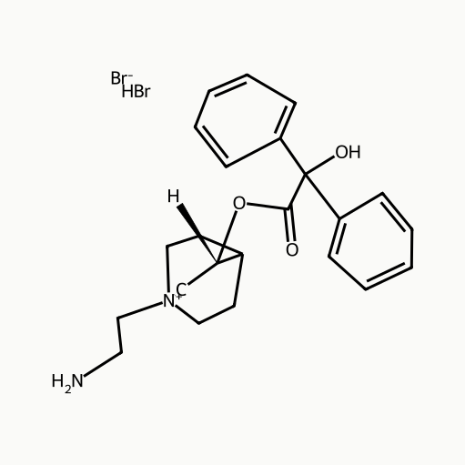 Br.NCC[N+]12CCC(CC1)[C@@H](OC(=O)C(O)(c1ccccc1)c1ccccc1)C2.[Br-]